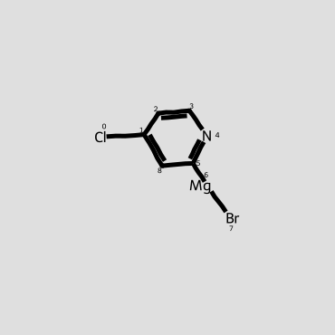 Clc1ccn[c]([Mg][Br])c1